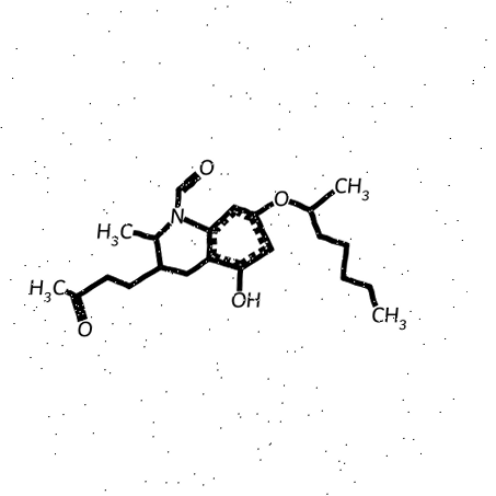 CCCCCC(C)Oc1cc(O)c2c(c1)N(C=O)C(C)C(CCC(C)=O)C2